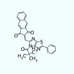 CC(C)(C)C(=O)n1c(C=C2C(=O)c3cc4ccccc4cc3C2=O)nc2sc(-c3ccccc3)nc21